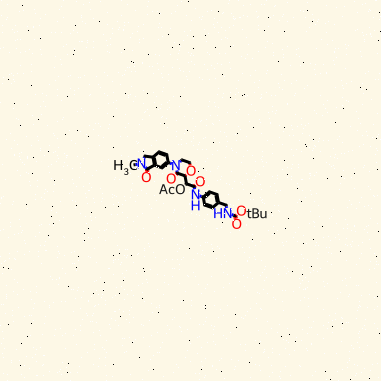 CC(=O)OC(C(=O)Nc1ccc(CNC(=O)OC(C)(C)C)cc1)C1OCCN(c2ccc3c(c2)C(=O)N(C)C3)C1=O